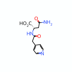 NC(=O)C[C@H](NC(=O)Cc1ccncc1)C(=O)O